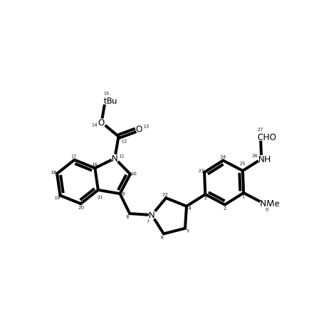 CNc1cc(C2CCN(Cc3cn(C(=O)OC(C)(C)C)c4ccccc34)C2)ccc1NC=O